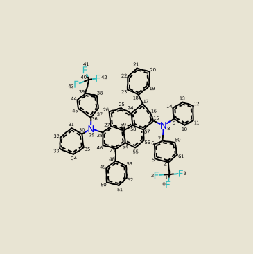 FC(F)(F)c1ccc(N(c2ccccc2)c2cc(-c3ccccc3)c3ccc4c(N(c5ccccc5)c5ccc(C(F)(F)F)cc5)cc(-c5ccccc5)c5ccc2c3c54)cc1